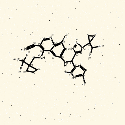 Cc1nc(F)ccc1C(Nc1cc(Cl)c2ncc(C#N)c(NCC3(C(F)(F)F)CCC3)c2c1)c1cn(C2(C(F)F)CC2)nn1